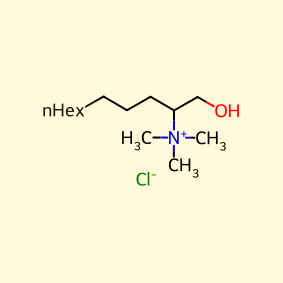 CCCCCCCCCC(CO)[N+](C)(C)C.[Cl-]